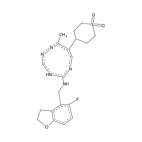 Cc1nnc[nH]c(NCc2c(F)ccc3c2CCO3)ncc1C1CCS(=O)(=O)CC1